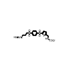 N=[N+]=NCCCS(=O)(=O)c1ccc(S(=O)(=O)c2ccc(CNC(=O)[O-])s2)cc1